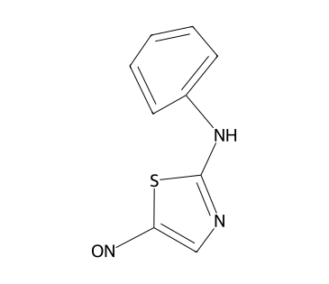 O=Nc1cnc(Nc2ccccc2)s1